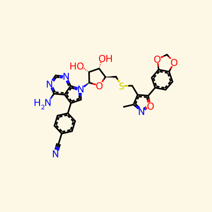 Cc1noc(-c2ccc3c(c2)OCO3)c1CSC[C@H]1O[C@@H](n2cc(-c3ccc(C#N)cc3)c3c(N)ncnc32)[C@H](O)[C@@H]1O